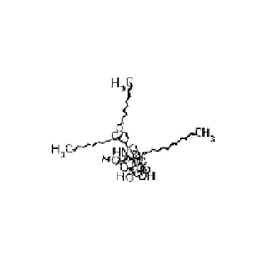 CCCCCCCCCCCCCC(=O)O[C@H]1[C@H](OS(=O)(=O)O)[C@@H](CO)OC(O)[C@@H]1NC(=O)c1ccc(OCCCCCCCCCC)c(OCCCCCCCCCC)c1